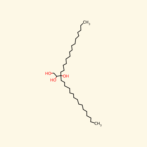 CCCCCCCCCCCCCCCCC(O)(CCCCCCCCCCCCCCCC)C(O)CO